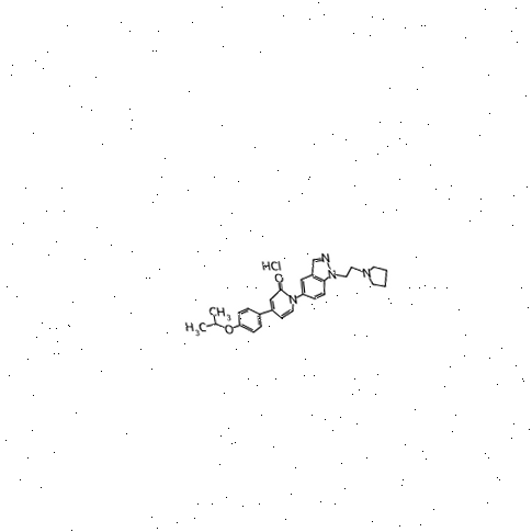 CC(C)Oc1ccc(-c2ccn(-c3ccc4c(cnn4CCN4CCCC4)c3)c(=O)c2)cc1.Cl